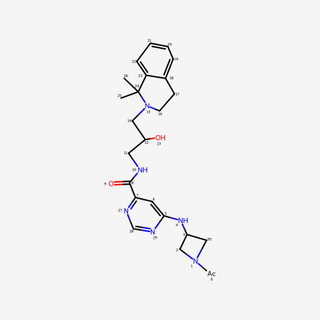 CC(=O)N1CC(Nc2cc(C(=O)NCC(O)CN3CCc4ccccc4C3(C)C)ncn2)C1